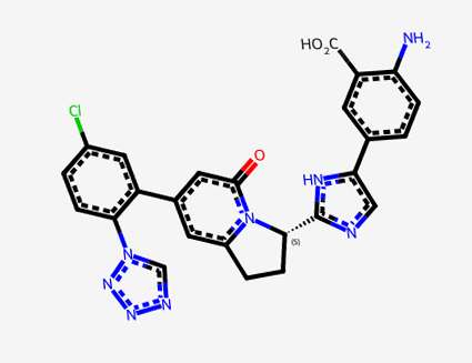 Nc1ccc(-c2cnc([C@@H]3CCc4cc(-c5cc(Cl)ccc5-n5cnnn5)cc(=O)n43)[nH]2)cc1C(=O)O